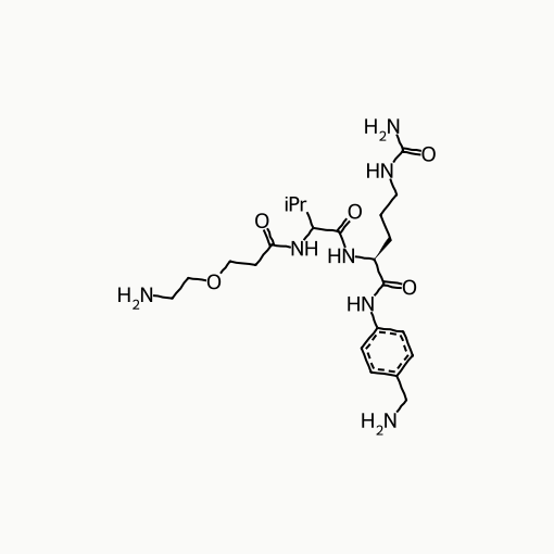 CC(C)C(NC(=O)CCOCCN)C(=O)N[C@@H](CCCNC(N)=O)C(=O)Nc1ccc(CN)cc1